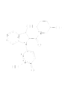 CC1CCCN(C(=O)C2C(C)c3ccccc3N2c2ccc(=O)n(C)n2)C1